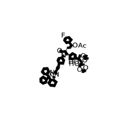 CC(=O)O[C@@H](CC[C@H]1C(=O)N(c2ccc(C#Cc3ncn(C(c4ccccc4)(c4ccccc4)c4ccccc4)n3)cc2)[C@@H]1c1ccc(C2(O)COC(C)(C)OC2C2(O)COC(C)(C)OC2)cc1)c1ccc(F)cc1